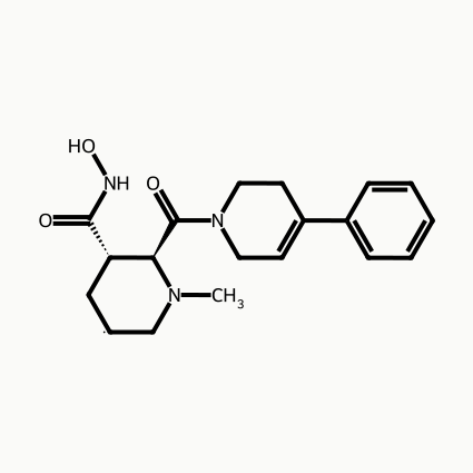 CN1C[CH]C[C@H](C(=O)NO)[C@H]1C(=O)N1CC=C(c2ccccc2)CC1